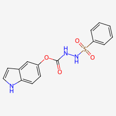 O=C(NNS(=O)(=O)c1ccccc1)Oc1ccc2[nH]ccc2c1